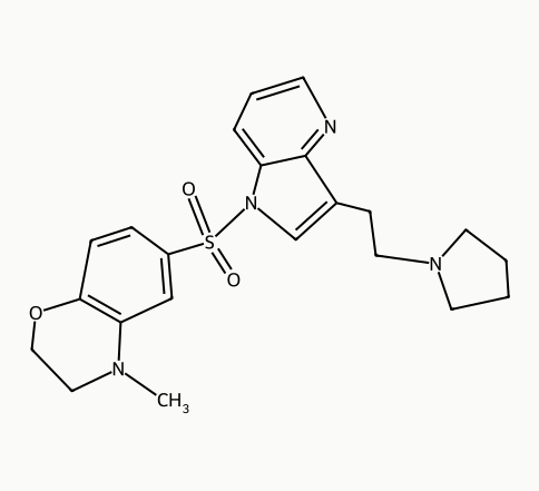 CN1CCOc2ccc(S(=O)(=O)n3cc(CCN4CCCC4)c4ncccc43)cc21